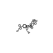 C=CCOC(=O)c1ccc(CNS(=O)(=O)CC(=O)OC(C)(C)C)c(OCC2CC2)c1